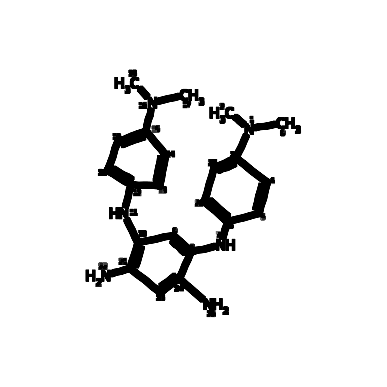 CN(C)c1ccc(Nc2cc(Nc3ccc(N(C)C)cc3)c(N)cc2N)cc1